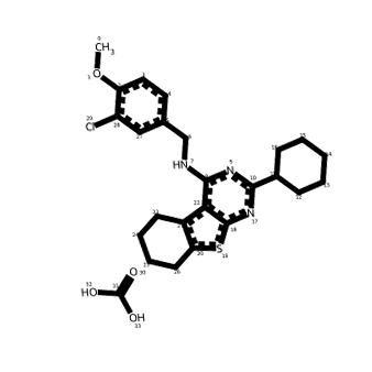 COc1ccc(CNc2nc(C3CCCCC3)nc3sc4c(c23)CCCC4)cc1Cl.O=C(O)O